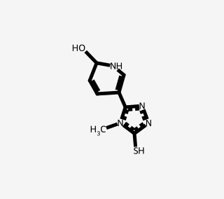 Cn1c(S)nnc1C1=CNC(O)C=C1